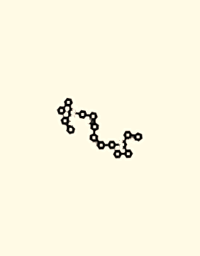 c1ccc(-c2ccccc2-c2cc(-c3cccc4c3sc3ccccc34)nc(-c3ccc(-c4ccc5oc6ccc(-c7ccc8c(c7)oc7c(-c9ccc(-c%10nc(-c%11ccccc%11-c%11ccccc%11)cc(-c%11cccc%12c%11sc%11ccccc%11%12)n%10)cc9)cccc78)cc6c5c4)cc3)n2)cc1